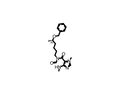 CNc1ncn(C)c1C(=O)N(C=O)CCCC[C@@H](C)OCc1ccccc1